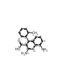 Cc1ccccc1-c1c(C(=O)O)c(N)nc2c(N)cccc12